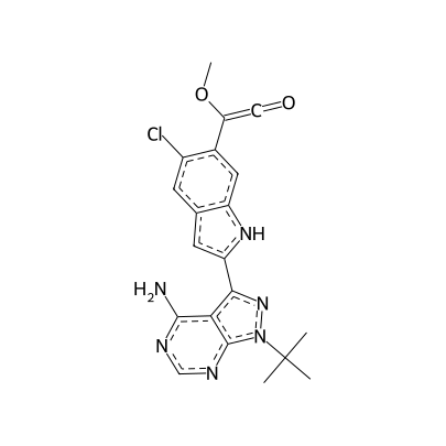 COC(=C=O)c1cc2[nH]c(-c3nn(C(C)(C)C)c4ncnc(N)c34)cc2cc1Cl